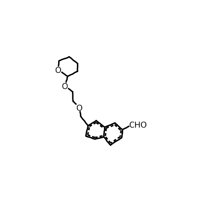 O=Cc1ccc2ccc(COCCOC3CCCCO3)cc2c1